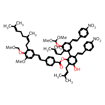 COCOc1c(CC=C(C)CCC=C(C)C)cc(C=Cc2ccc(C(=O)Oc3c(CC=C(C)C)c(O)cc(C=Cc4ccc([N+](=O)[O-])cc4)c3-c3cc(C=Cc4ccc([N+](=O)[O-])cc4)cc(OC(OC)OC)c3CC=C(C)C)cc2)cc1OC